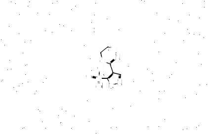 O=S(=O)(Cl)c1[nH]ncc1C1=NOCCO1